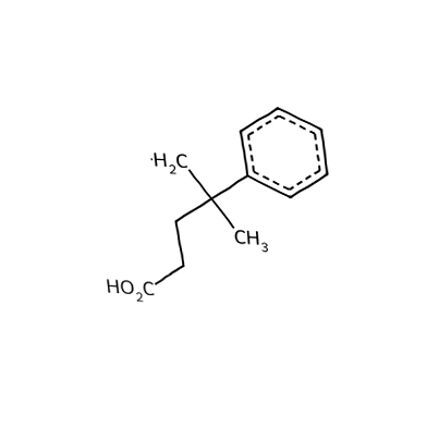 [CH2]C(C)(CCC(=O)O)c1ccccc1